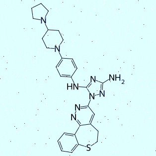 Nc1nc(Nc2ccc(N3CCC(N4CCCC4)CC3)cc2)n(-c2cc3c(nn2)-c2ccccc2SCC3)n1